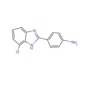 Nc1ccc(-c2nc3cccc(Cl)c3[nH]2)cc1